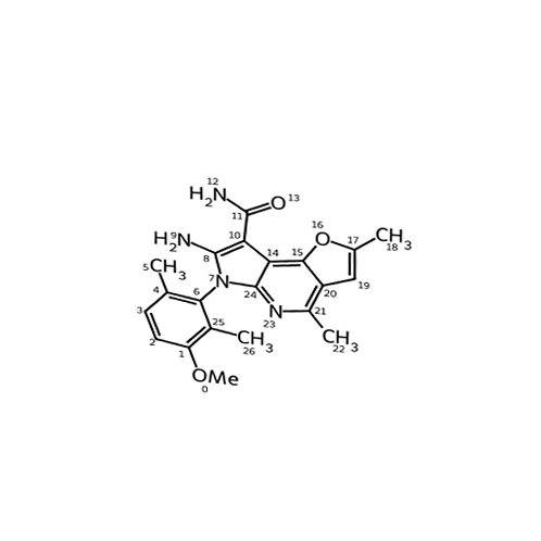 COc1ccc(C)c(-n2c(N)c(C(N)=O)c3c4oc(C)cc4c(C)nc32)c1C